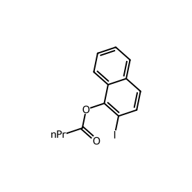 CCCC(=O)Oc1c(I)ccc2ccccc12